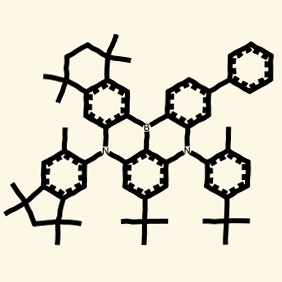 Cc1ccc(C(C)(C)C)cc1N1c2cc(-c3ccccc3)ccc2B2c3cc4c(cc3N(c3cc5c(cc3C)C(C)(C)CC5(C)C)c3cc(C(C)(C)C)cc1c32)C(C)(C)CCC4(C)C